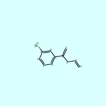 C=CCC(=C)c1cccc(Br)c1